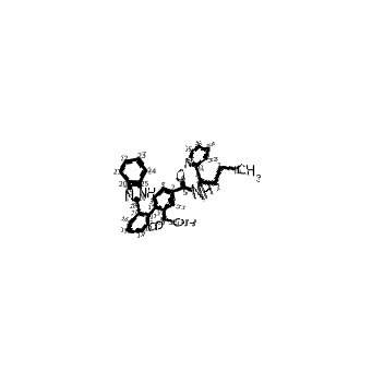 CCCC(NC(=O)c1ccc(-c2c(Cl)cccc2-c2nc3ccccc3[nH]2)c(C(=O)O)c1)c1ccccn1